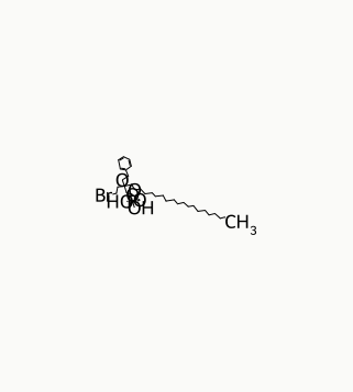 CCCCCCCCCCCCCCCCCCOCC(CCBr)(COP(=O)(O)O)OCc1ccccc1